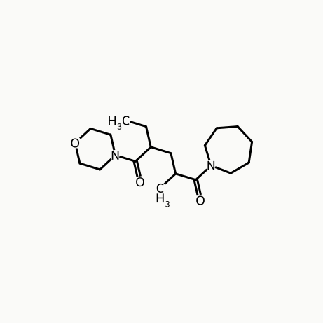 CCC(CC(C)C(=O)N1CCCCCC1)C(=O)N1CCOCC1